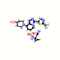 N#CC1(NS(=O)(=O)c2cc(N3CCC(O)CC3)c3cnc(-c4nnc(C(F)F)s4)n3c2)CC1